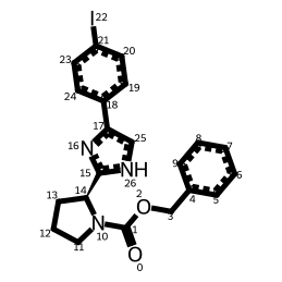 O=C(OCc1ccccc1)N1CCC[C@H]1c1nc(-c2ccc(I)cc2)c[nH]1